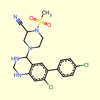 CS(=O)(=O)N1CCN(C2NCNc3cc(Cl)c(-c4ccc(Cl)cc4)cc32)CC1C#N